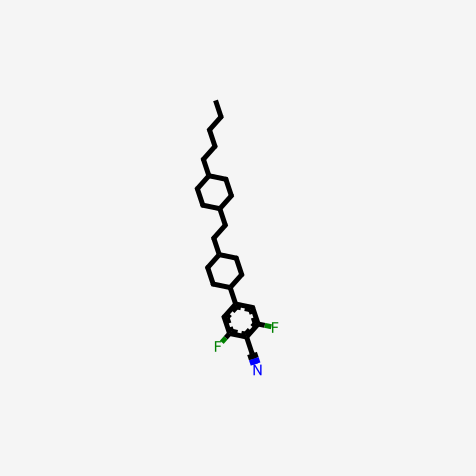 CCCCCC1CCC(CCC2CCC(c3cc(F)c(C#N)c(F)c3)CC2)CC1